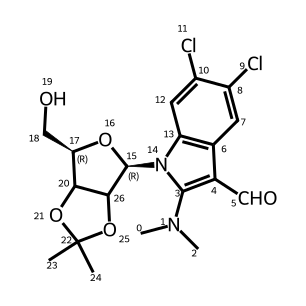 CN(C)c1c(C=O)c2cc(Cl)c(Cl)cc2n1[C@@H]1O[C@H](CO)C2OC(C)(C)OC21